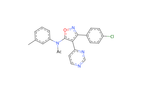 CC(=O)N(c1cccc(C)c1)c1onc(-c2ccc(Cl)cc2)c1-c1ccncn1